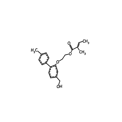 C/C=C(\C)C(=O)OCCOc1cc(CO)ccc1-c1ccc(C)cc1